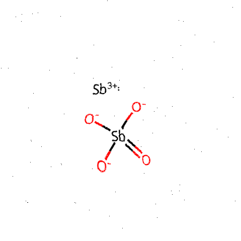 [O]=[Sb]([O-])([O-])[O-].[Sb+3]